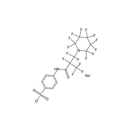 O=C(Nc1ccc(S(=O)(=O)[O-])cc1)C(F)(C(F)(F)F)C(F)(F)N1C(F)(F)C(F)(F)C(F)(F)C(F)(F)C1(F)F.[Na+]